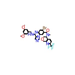 COc1cc(CNc2nc3cc(Br)c(C(=O)N(C)C4COCc5nc(C(F)(F)F)ccc54)cc3n3cncc23)cc(OC)c1